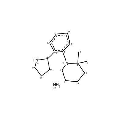 CC1(C)CCCCN1c1ccccc1C1CCCN1.N